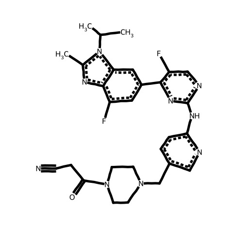 Cc1nc2c(F)cc(-c3nc(Nc4ccc(CN5CCN(C(=O)CC#N)CC5)cn4)ncc3F)cc2n1C(C)C